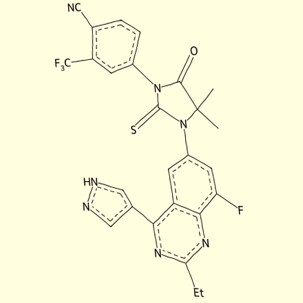 CCc1nc(-c2cn[nH]c2)c2cc(N3C(=S)N(c4ccc(C#N)c(C(F)(F)F)c4)C(=O)C3(C)C)cc(F)c2n1